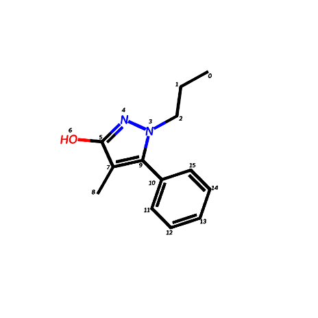 CCCn1nc(O)c(C)c1-c1ccccc1